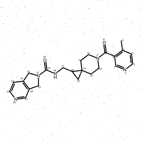 Cc1ccncc1C(=O)N1CCC2(CC1)CC2CNC(=O)N1Cc2ccncc2C1